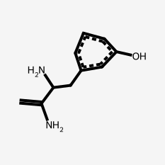 C=C(N)C(N)Cc1cccc(O)c1